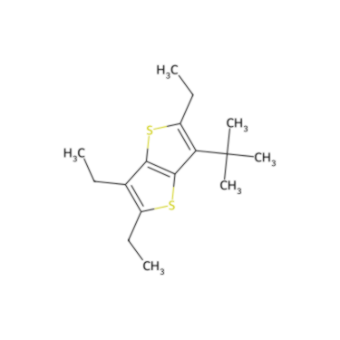 CCc1sc2c(C(C)(C)C)c(CC)sc2c1CC